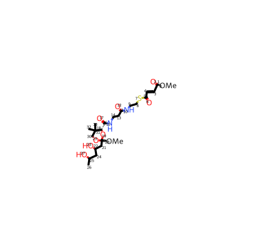 COC(=O)/C=C/C(=O)SCCNC(=O)CCNC(=O)[C@@H]1OC(CC(O)CC(C)O)(OC)OCC1(C)C